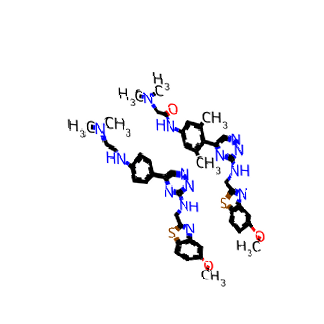 COc1ccc2sc(CNc3nncc(-c4c(C)cc(NC(=O)CN(C)C)cc4C)n3)nc2c1.COc1ccc2sc(CNc3nncc(-c4ccc(NCCN(C)C)cc4)n3)nc2c1